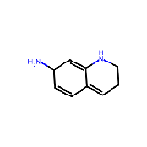 NC1C=CC2=CCCNC2=C1